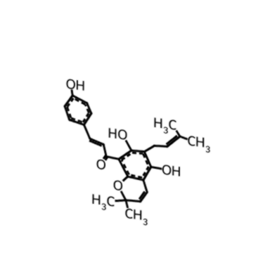 CC(C)=CCc1c(O)c2c(c(C(=O)/C=C/c3ccc(O)cc3)c1O)OC(C)(C)C=C2